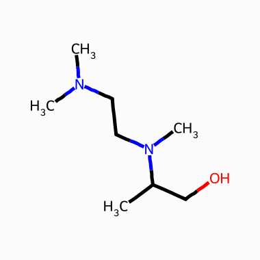 CC(CO)N(C)CCN(C)C